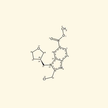 COC(=O)c1ccc2nc(CCl)n(C[C@H]3CCOC3)c2c1